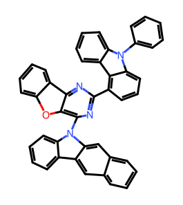 c1ccc(-n2c3ccccc3c3c(-c4nc(-n5c6ccccc6c6cc7ccccc7cc65)c5oc6ccccc6c5n4)cccc32)cc1